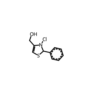 OCC1=CSC(c2ccccc2)N1Cl